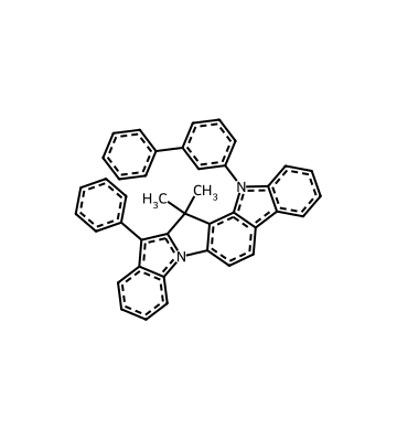 CC1(C)c2c(ccc3c4ccccc4n(-c4cccc(-c5ccccc5)c4)c23)-n2c1c(-c1ccccc1)c1ccccc12